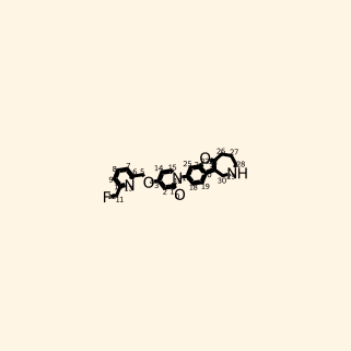 O=c1cc(OCc2cccc(CF)n2)ccn1-c1ccc2c3c(oc2c1)CCCNC3